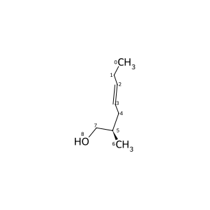 CC/C=C/C[C@@H](C)CO